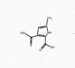 Cc1[c]c(C(=O)O)c(C(=O)O)[nH]1